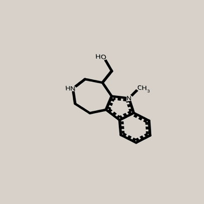 Cn1c2c(c3ccccc31)CCNCC2CO